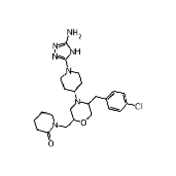 Nc1nnc(N2CCC(N3CC(CN4CCCCC4=O)OCC3Cc3ccc(Cl)cc3)CC2)[nH]1